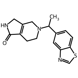 CC(c1ccc2scnc2c1)N1CCC2=C(CNC2=O)C1